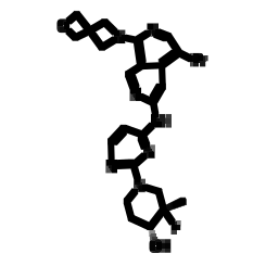 CC(C)c1cnc(N2CC3(COC3)C2)c2cnc(Nc3ccnc(N4CC[C@@H](O)[C@@](C)(F)C4)n3)cc12